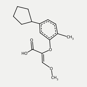 CO/C=C(\Oc1cc(C2CCCC2)ccc1C)C(=O)O